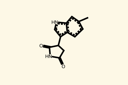 Cc1ccc2c(C3CC(=O)NC3=O)c[nH]c2c1